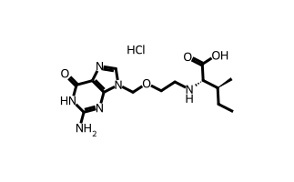 CC[C@H](C)[C@H](NCCOCn1cnc2c(=O)[nH]c(N)nc21)C(=O)O.Cl